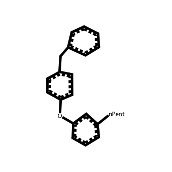 CCCCCc1cccc(Oc2ccc(Cc3ccccc3)cc2)c1